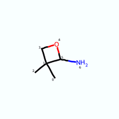 CC1(C)COC1N